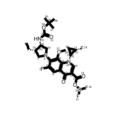 CC[C@H]1CN(c2c(F)cc3c(=O)c(C(=O)OB(F)F)cn([C@@H]4C[C@@H]4F)c3c2OC)C[C@H]1NC(=O)OC(C)(C)C